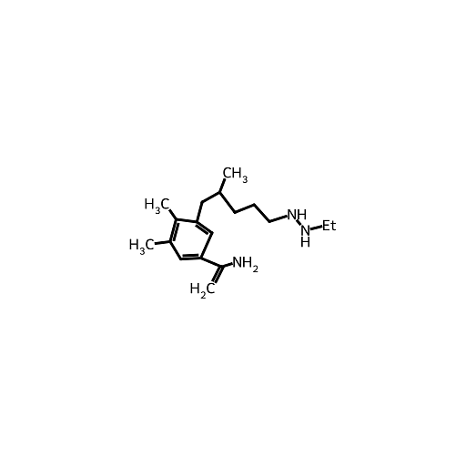 C=C(N)c1cc(C)c(C)c(CC(C)CCCNNCC)c1